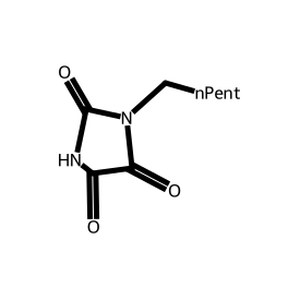 CCCCCCN1C(=O)NC(=O)C1=O